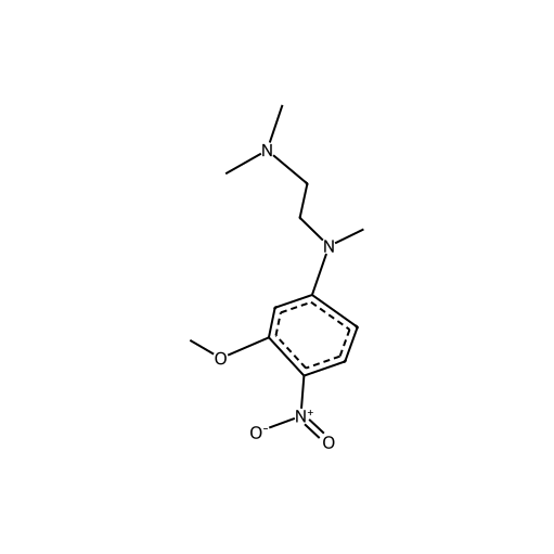 COc1cc(N(C)CCN(C)C)ccc1[N+](=O)[O-]